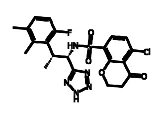 Cc1ccc(F)c([C@@H](C)[C@H](NS(=O)(=O)c2ccc(Cl)c3c2OCCC3=O)c2nn[nH]n2)c1C